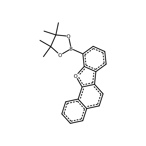 CC1(C)OB(c2cccc3c2oc2c4ccccc4ccc32)OC1(C)C